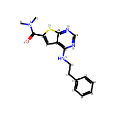 CN(C)C(=O)c1cc2c(NCCc3ccccc3)ncnc2s1